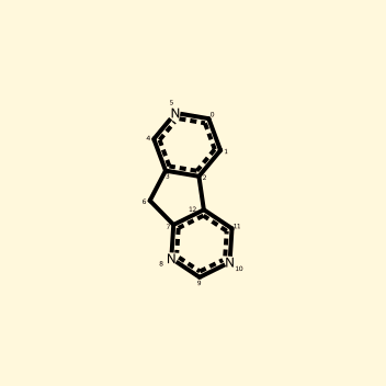 c1cc2c(cn1)Cc1ncncc1-2